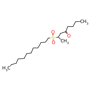 CCCCCCCCCCCCS(=O)(=O)C(C)CC(=O)CCCC